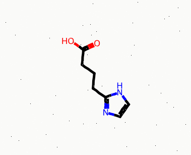 O=C(O)CCCc1ncc[nH]1